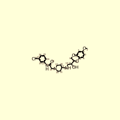 COc1ccc2c(c1)OCC(C(O)CNC1CCN(CC(=O)Nc3cccc(Cl)c3)CC1)O2